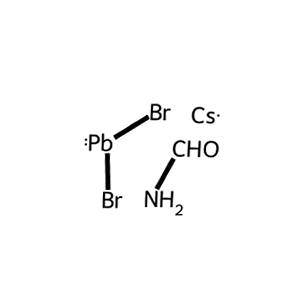 NC=O.[Br][Pb][Br].[Cs]